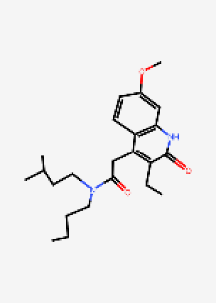 CCCCN(CCC(C)C)C(=O)Cc1c(CC)c(=O)[nH]c2cc(OC)ccc12